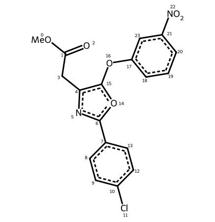 COC(=O)Cc1nc(-c2ccc(Cl)cc2)oc1Oc1cccc([N+](=O)[O-])c1